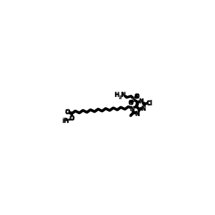 Cc1nc2nc(Cl)nc(S(=O)(=O)CCN)c2n1CCCCCCCCCCCCCCCC(=O)OC(C)C